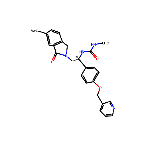 COc1ccc2c(c1)C(=O)N(C[C@H](NC(=O)NC=O)c1ccc(OCc3cccnc3)cc1)C2